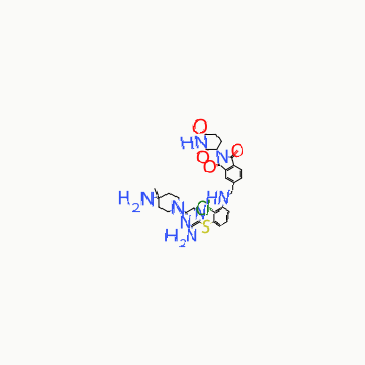 CC1(N)CCN(c2cnc(Sc3cccc(NCc4ccc5c(c4)C(=O)N(C4CCC(=O)NC4=O)C5=O)c3Cl)c(N)n2)CC1